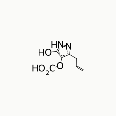 C=CCc1n[nH]c(O)c1OC(=O)O